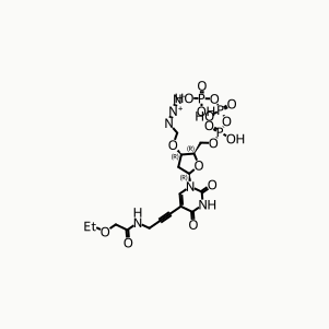 CCOCC(=O)NCC#Cc1cn([C@H]2C[C@@H](OCN=[N+]=[N-])[C@@H](COP(=O)(O)OP(=O)(O)OP(=O)(O)O)O2)c(=O)[nH]c1=O